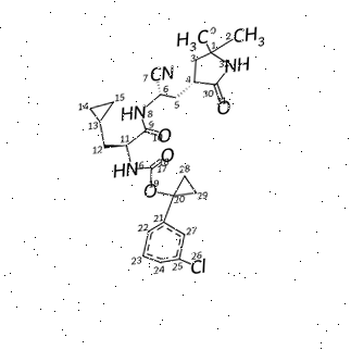 CC1(C)C[C@@H](C[C@@H](C#N)NC(=O)[C@H](CC2CC2)NC(=O)OC2(c3cccc(Cl)c3)CC2)C(=O)N1